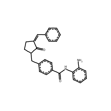 Nc1ccccc1NC(=O)c1ccc(CC2CCC(=Cc3ccccc3)C2=O)cc1